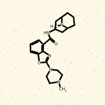 CN1CCN(c2nc3c(C(=O)NC4CC5CCCC(C4)N5C)cccc3o2)CC1